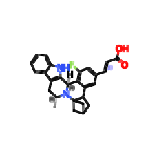 C[C@@H]1Cc2c([nH]c3ccccc23)[C@H]2c3c(F)cc(/C=C/C(=O)O)cc3C3CC4CC3(C4)N21